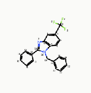 FC(F)(F)c1ccc2c(c1)nc(-c1ccccc1)n2Cc1ccccc1